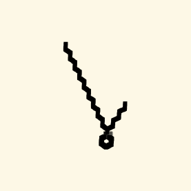 CCCCCCCCCCCCCCCCCCC(CCCCCC)[n+]1ccccc1